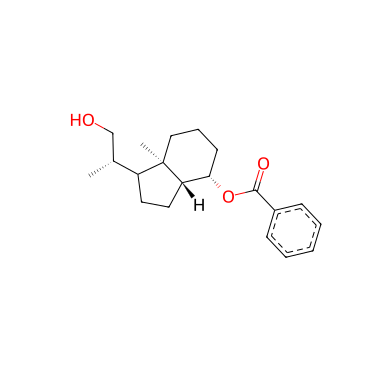 C[C@H](CO)C1CC[C@H]2[C@@H](OC(=O)c3ccccc3)CCC[C@]12C